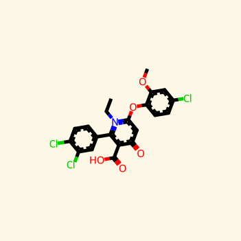 CCn1c(Oc2ccc(Cl)cc2OC)cc(=O)c(C(=O)O)c1-c1ccc(Cl)c(Cl)c1